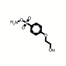 NOS(=O)(=O)c1ccc(OCCO)cc1